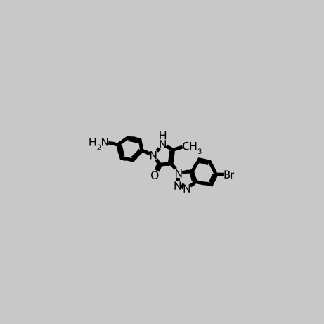 Cc1[nH]n(-c2ccc(N)cc2)c(=O)c1-n1nnc2cc(Br)ccc21